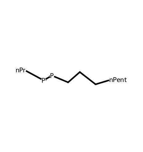 CCCCCCCC[P][P]CCC